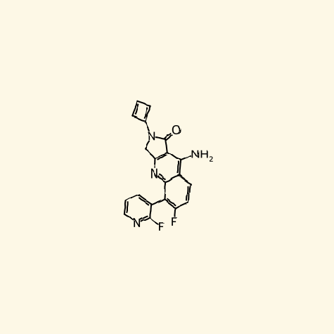 Nc1c2c(nc3c(-c4cccnc4F)c(F)ccc13)CN(C1=CC=C1)C2=O